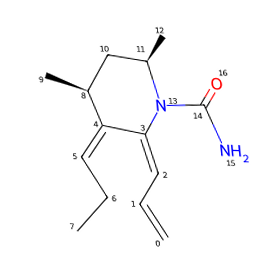 C=C/C=C1\C(=C/CC)[C@@H](C)C[C@@H](C)N1C(N)=O